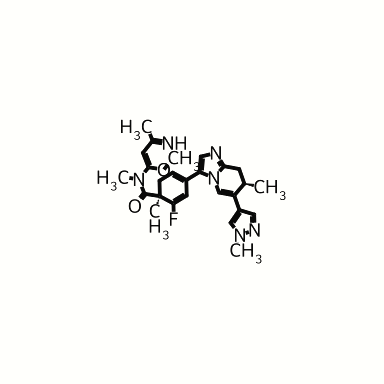 CO/C(=C\C(C)=N)N(C)C(=O)[C@@]1(C)CC=C(c2cnc3n2C=C(c2cnn(C)c2)[C@H](C)C3)C=C1F